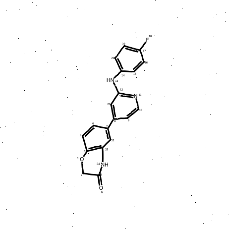 O=C1COc2ccc(-c3ccnc(Nc4ccc(F)cc4)c3)cc2N1